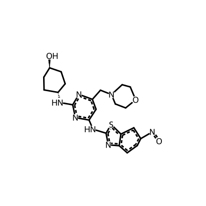 O=Nc1ccc2nc(Nc3cc(CN4CCOCC4)nc(N[C@H]4CC[C@H](O)CC4)n3)sc2c1